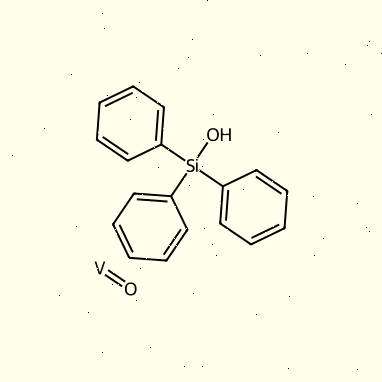 O[Si](c1ccccc1)(c1ccccc1)c1ccccc1.[O]=[V]